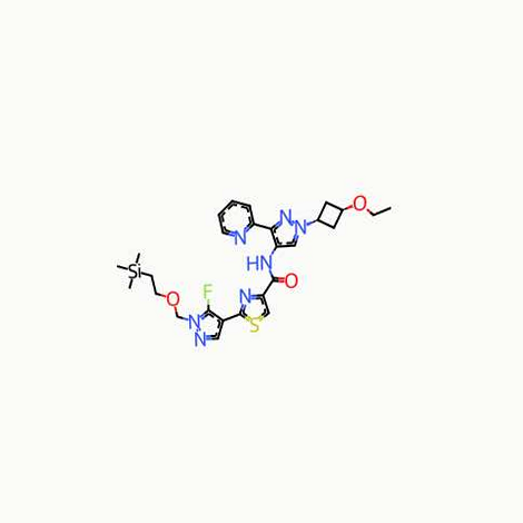 CCO[C@H]1C[C@@H](n2cc(NC(=O)c3csc(-c4cnn(COCC[Si](C)(C)C)c4F)n3)c(-c3ccccn3)n2)C1